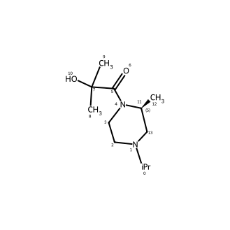 CC(C)N1CCN(C(=O)C(C)(C)O)[C@@H](C)C1